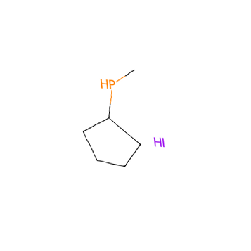 CPC1CCCC1.I